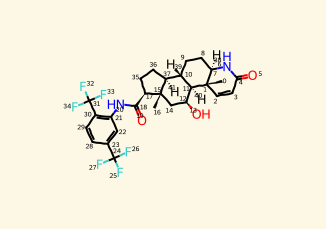 C[C@]12C=CC(=O)N[C@@H]1CC[C@@H]1[C@@H]2[C@@H](O)C[C@]2(C)[C@@H](C(=O)Nc3cc(C(F)(F)F)ccc3C(F)(F)F)CC[C@@H]12